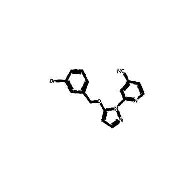 N#Cc1ccnc(-n2nccc2OCc2cccc(Br)c2)c1